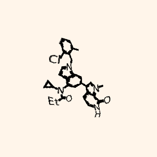 CCC(=O)N(c1cc(-c2cn(C)c3c(=O)[nH]ccc23)cc2c1ccn2Cc1c(C)cccc1Cl)C1CC1